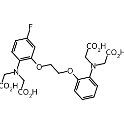 O=C(O)CN(CC(=O)O)c1ccccc1OCCOc1cc(F)ccc1N(CC(=O)O)CC(=O)O